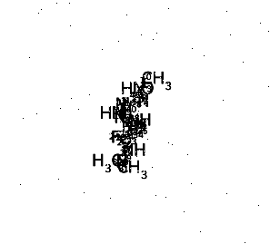 CCC(=O)Nc1cncc(-c2cnc3[nH]nc(-c4nc5c(-c6cc(F)cc(NCCN(C)C)c6)ccnc5[nH]4)c3c2)c1